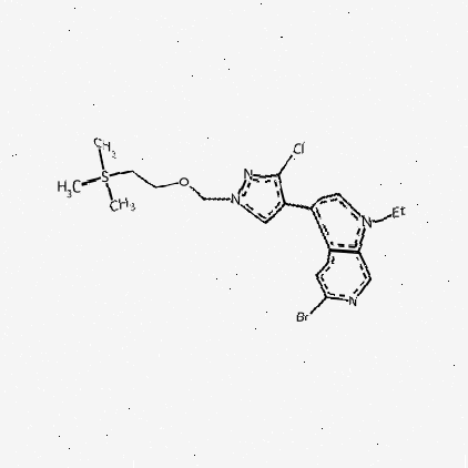 CCn1cc(-c2cn(COCCS(C)(C)C)nc2Cl)c2cc(Br)ncc21